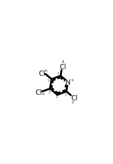 Clc1[c]c(Cl)c(Cl)c(Cl)n1